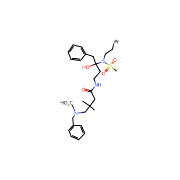 CC(C)CCN(C(O)(CCNC(=O)CC(C)(C)CN(Cc1ccccc1)C(=O)O)Cc1ccccc1)S(C)(=O)=O